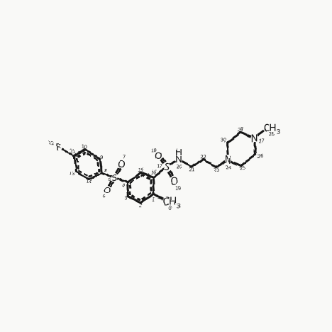 Cc1ccc(S(=O)(=O)c2ccc(F)cc2)cc1S(=O)(=O)NCCCN1CCN(C)CC1